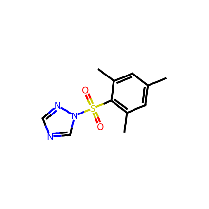 Cc1cc(C)c(S(=O)(=O)n2cncn2)c(C)c1